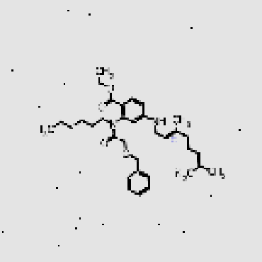 CCCCCCN(C(=O)COCc1ccccc1)c1cc(NC/C=C(\C)CCC=C(C)C)ccc1C(=O)OCC